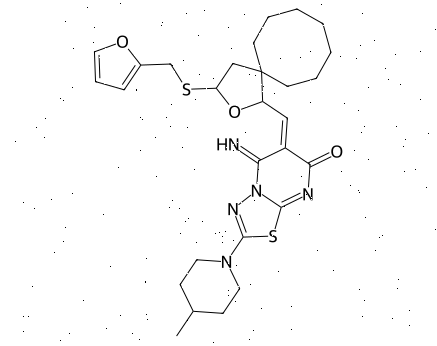 CC1CCN(C2=NN3C(=N)/C(=C\C4OC(SCc5ccco5)CC45CCCCCCC5)C(=O)N=C3S2)CC1